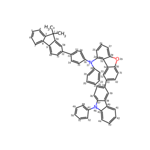 CC1(C)c2ccccc2-c2ccc(-c3ccc(N(c4ccccc4)c4cccc5oc6ccc(-c7ccc8c(c7)c7ccccc7n8-c7ccccc7)cc6c45)cc3)cc21